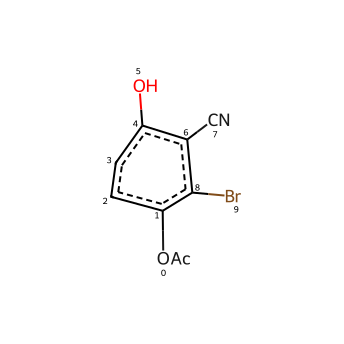 CC(=O)Oc1ccc(O)c(C#N)c1Br